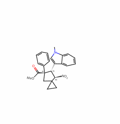 COC(=O)[C@]1(c2ccccc2)CC2(CC2)[C@H]([N+](=O)[O-])[C@H]1c1cn(C)c2ccccc12